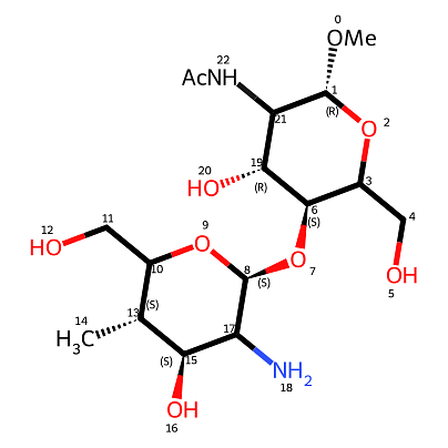 CO[C@@H]1OC(CO)[C@@H](O[C@@H]2OC(CO)[C@@H](C)[C@H](O)C2N)[C@H](O)C1NC(C)=O